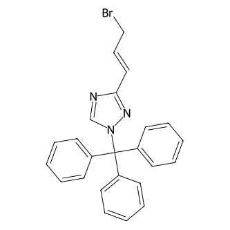 BrC/C=C/c1ncn(C(c2ccccc2)(c2ccccc2)c2ccccc2)n1